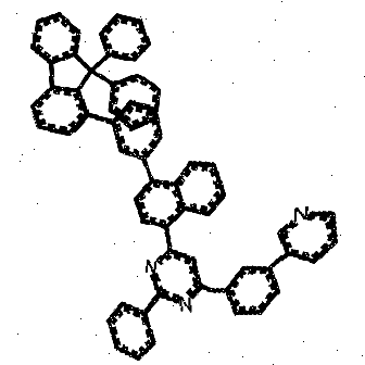 c1ccc(-c2nc(-c3cccc(-c4cccnc4)c3)cc(-c3ccc(-c4cccc(-c5cccc6c5C(c5ccccc5)(c5ccccc5)c5ccccc5-6)c4)c4ccccc34)n2)cc1